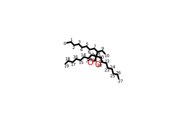 CCCCCCCCC(CC)C(CCCCCCCC)(CCCCCCCC)C([O])=O